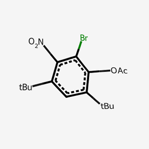 CC(=O)Oc1c(C(C)(C)C)cc(C(C)(C)C)c([N+](=O)[O-])c1Br